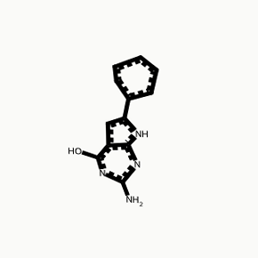 Nc1nc(O)c2cc(-c3ccccc3)[nH]c2n1